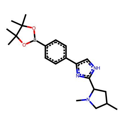 CC1CC(c2nc(-c3ccc(B4OC(C)(C)C(C)(C)O4)cc3)c[nH]2)N(C)C1